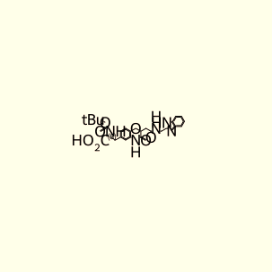 CC(C)(C)OC(=O)N[C@@H](Cc1ccc2c(c1)NC(=O)C(CC(=O)NCc1nc3ccccc3[nH]1)O2)C(=O)O